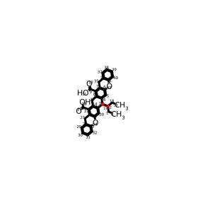 CCCCc1cc2c(c(C(=O)O)c1Cc1c(CCCC)cc3c(c1C(=O)O)Cc1ccccc1O3)Cc1ccccc1O2